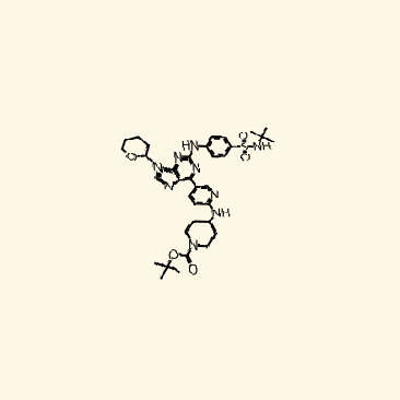 CC(C)(C)NS(=O)(=O)c1ccc(Nc2nc(-c3ccc(NC4CCN(C(=O)OC(C)(C)C)CC4)nc3)c3ncn(C4CCCCO4)c3n2)cc1